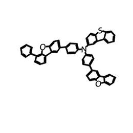 c1ccc(-c2cccc3c2oc2ccc(-c4ccc(N(c5ccc(-c6ccc7oc8ccccc8c7c6)cc5)c5ccc6sc7ccccc7c6c5)cc4)cc23)cc1